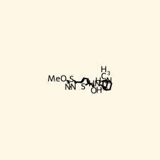 COc1nnc(-c2ccc(C(=O)N[C@@H]3C4CCN(CC4)[C@H]3C)s2)s1